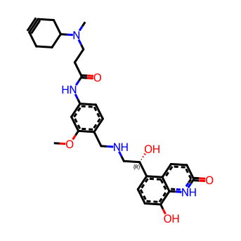 COc1cc(NC(=O)CCN(C)C2CC#CCC2)ccc1CNC[C@H](O)c1ccc(O)c2[nH]c(=O)ccc12